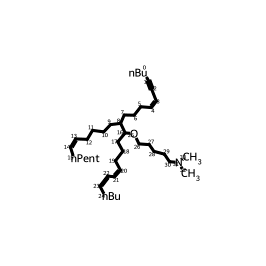 CCCCC#C/C=C\CCCC(CCCC/C=C\CCCCC)C(CCC/C=C\C=C/CCCC)OCCCCCN(C)C